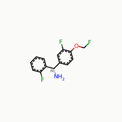 N[C@@H](c1ccc(OCF)c(F)c1)c1ccccc1F